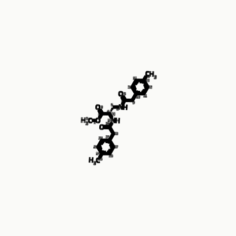 COC(=O)[C@H](CNC(=O)Cc1ccc(C)cc1)NC(=O)Cc1ccc(C)cc1